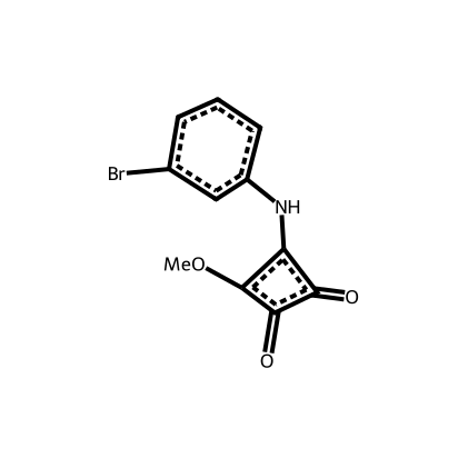 COc1c(Nc2cccc(Br)c2)c(=O)c1=O